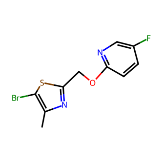 Cc1nc(COc2ccc(F)cn2)sc1Br